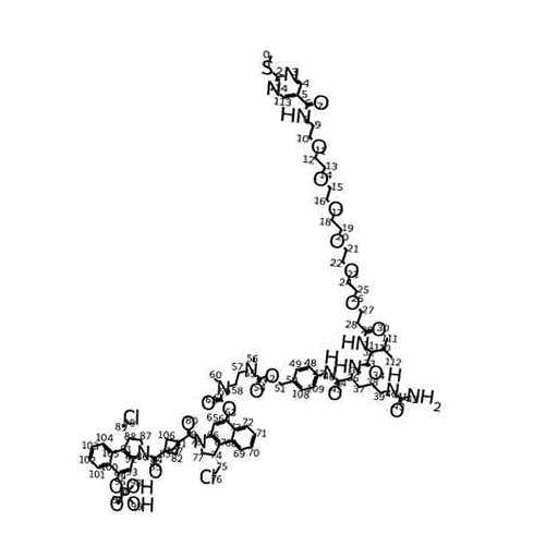 CSc1ncc(C(=O)NCCOCCOCCOCCOCCOCCOCCC(=O)NC(C(=O)N[C@@H](CCCNC(N)=O)C(=O)Nc2ccc(COC(=O)N(C)CCN(C)C(=O)Oc3cc4c(c5ccccc35)[C@H](CCl)CN4C(=O)C34CC(C(=O)N5C[C@@H](CCl)c6c5cc(OP(=O)(O)O)c5ccccc65)(C3)C4)cc2)C(C)C)cn1